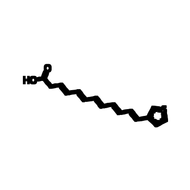 O=C(O)C/C=C/C=C/C=C/C=C/C=C/c1ccsc1